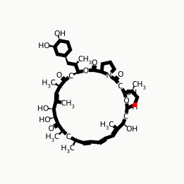 C/C1=C\[C@@H](C)C(=O)C[C@@H]([C@H](C)C[C@@H]2CC[C@@H](O)[C@H](O)C2)OC(=O)C2CCCN2C(=O)C[C@]2(O)O[C@@H](CC[C@H]2C)C[C@H](O)/C(C)=C/C=C/C=C/[C@@H](C)C[C@@H](C)C(=O)[C@H](O)[C@@H]1O